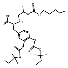 CCCCCOC(=O)OC(C)CN[C@@H](Cc1ccc(OC(=O)OC(C)(C)CC)c(OC(=O)OC(C)(C)CC)c1)C(=O)O